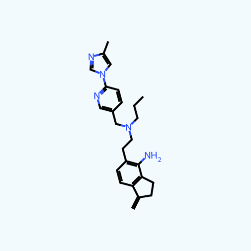 C=C1CCc2c1ccc(CCN(CCC)Cc1ccc(-n3cnc(C)c3)nc1)c2N